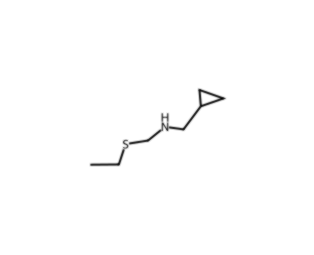 CCSCNCC1CC1